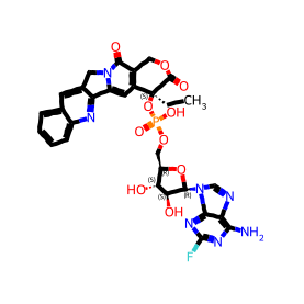 CC[C@@]1(OP(=O)(O)OC[C@H]2O[C@@H](n3cnc4c(N)nc(F)nc43)[C@@H](O)[C@@H]2O)C(=O)OCc2c1cc1n(c2=O)Cc2cc3ccccc3nc2-1